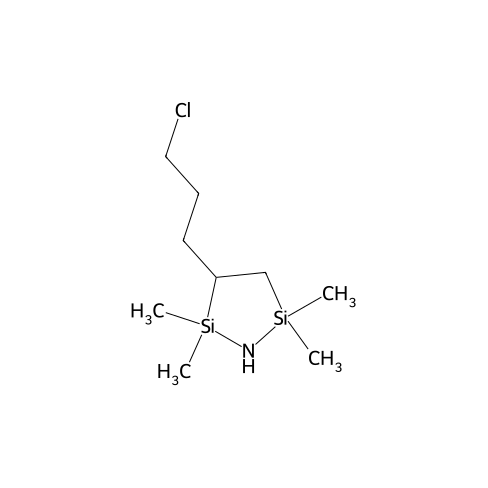 C[Si]1(C)CC(CCCCl)[Si](C)(C)N1